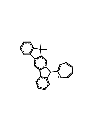 CC1(C)c2ccccc2-c2cc3c(cc21)C(C1=CC=CC=CN1)c1ccccc1-3